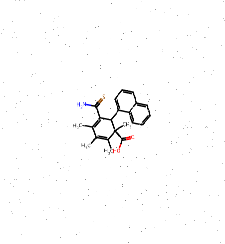 CC1=C(C(N)=S)C(c2cccc3ccccc23)C(C)(C(=O)O)C(C)=C1C